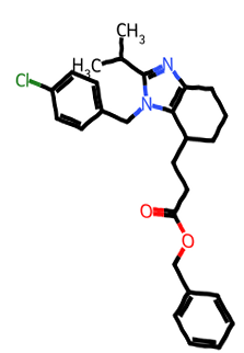 CC(C)c1nc2c(n1Cc1ccc(Cl)cc1)C(CCC(=O)OCc1ccccc1)CCC2